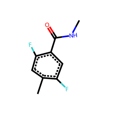 CNC(=O)c1cc(F)c(C)cc1F